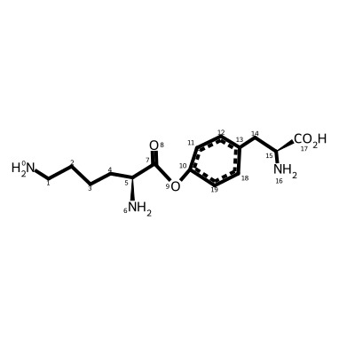 NCCCC[C@H](N)C(=O)Oc1ccc(C[C@H](N)C(=O)O)cc1